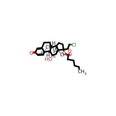 CCCCCC(=O)O[C@]1(C(=O)CCl)CC[C@H]2[C@@H]3CCC4=CC(=O)C=C[C@]4(C)[C@H]3[C@@H](O)C[C@@]21C